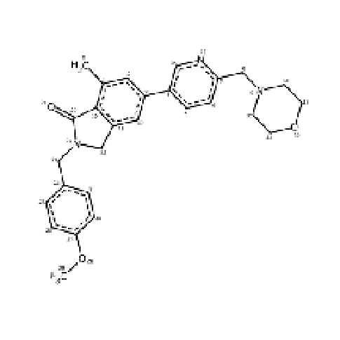 Cc1cc(-c2ccc(CN3CCOCC3)nc2)cc2c1C(=O)N(Cc1ccc(OC(F)(F)F)cc1)C2